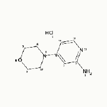 Cl.Nc1cc(N2CCOCC2)ccn1